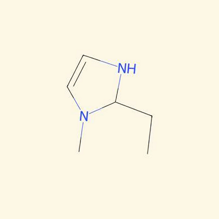 CCC1NC=CN1C